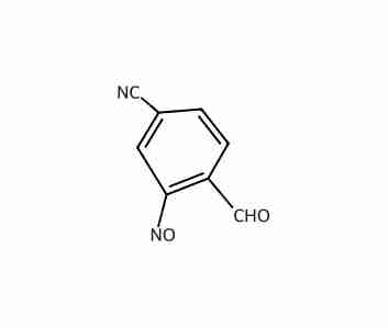 N#Cc1ccc(C=O)c(N=O)c1